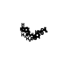 Cc1oc2ccc(NC(=O)OC3CC3)cc2c1CCN(C)Cc1ccc2[nH]ncc2c1